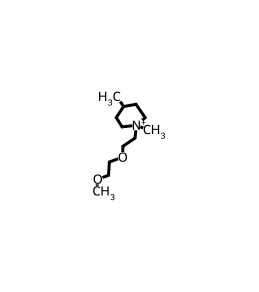 COCCOCC[N+]1(C)CCC(C)CC1